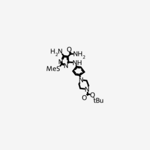 CSc1nc(N)c(C(N)=O)c(Nc2ccc(N3CCN(C(=O)OC(C)(C)C)CC3)cc2)n1